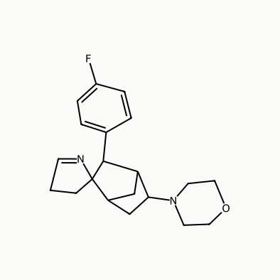 Fc1ccc(C2C3CC(CC3N3CCOCC3)C23CCC=N3)cc1